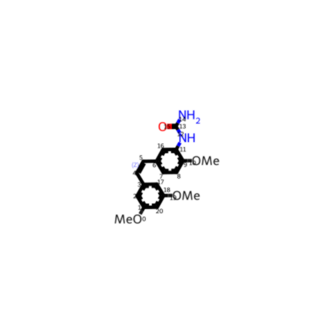 COc1cc(/C=C\c2ccc(OC)c(NC(N)=O)c2)cc(OC)c1